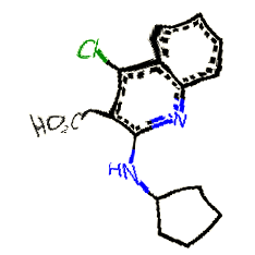 O=C(O)c1c(NC2CCCC2)nc2ccccc2c1Cl